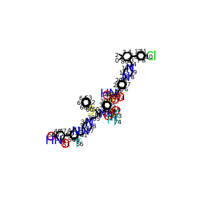 CC1(C)CCC(c2ccc(Cl)cc2)=C(CN2CCN(c3ccc(C(=O)NS(=O)(=O)c4ccc(N[C@H](CCN5CCN(Cc6ncc(C7CCC(=O)NC7=O)cc6F)CC5)CSc5ccccc5)c(S(=O)(=O)C(F)(F)F)c4)cc3)CC2)C1